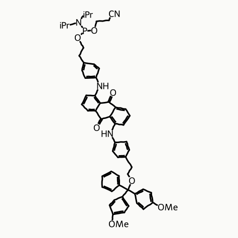 COc1ccc(C(OCCc2ccc(Nc3cccc4c3C(=O)c3cccc(Nc5ccc(CCOP(OCCC#N)N(C(C)C)C(C)C)cc5)c3C4=O)cc2)(c2ccccc2)c2ccc(OC)cc2)cc1